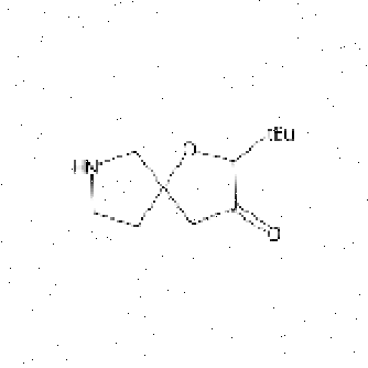 CC(C)(C)C1OC2(CCNC2)CC1=O